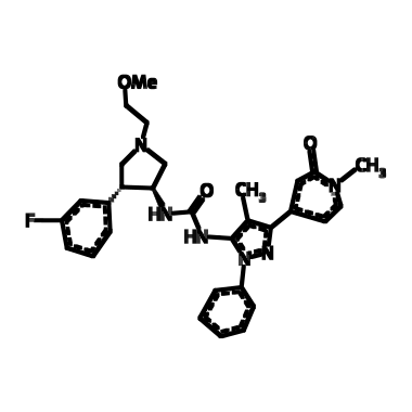 COCCN1C[C@@H](NC(=O)Nc2c(C)c(-c3ccn(C)c(=O)c3)nn2-c2ccccc2)[C@H](c2cccc(F)c2)C1